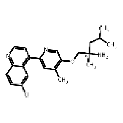 Cc1cc(-c2ccnc3ccc(Cl)cc23)ncc1OC[C@@](C)(N)CC(C)C